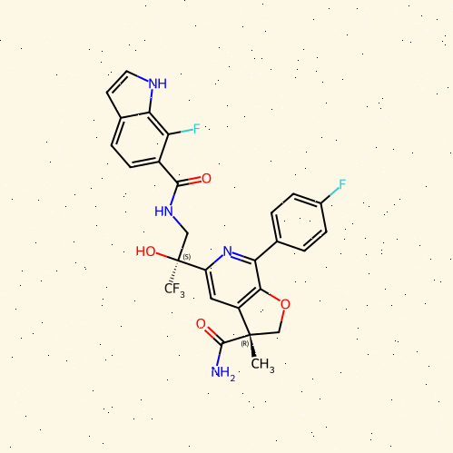 C[C@]1(C(N)=O)COc2c1cc([C@@](O)(CNC(=O)c1ccc3cc[nH]c3c1F)C(F)(F)F)nc2-c1ccc(F)cc1